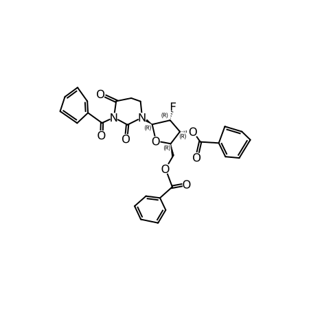 O=C(OC[C@H]1O[C@@H](N2CCC(=O)N(C(=O)c3ccccc3)C2=O)[C@H](F)[C@@H]1OC(=O)c1ccccc1)c1ccccc1